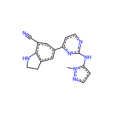 Cn1nccc1Nc1nccc(-c2cc(C#N)c3c(c2)CCN3)n1